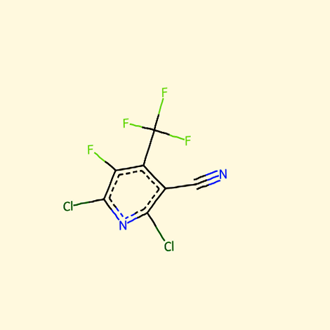 N#Cc1c(Cl)nc(Cl)c(F)c1C(F)(F)F